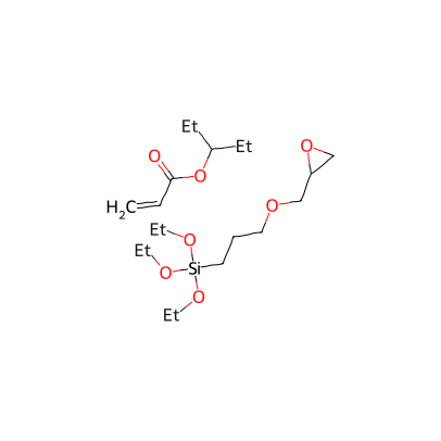 CCO[Si](CCCOCC1CO1)(OCC)OCC.[CH2]CC(CC)OC(=O)C=C